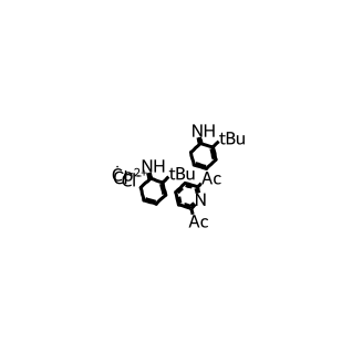 CC(=O)c1cccc(C(C)=O)n1.CC(C)(C)C1=CC=CCC1=N.CC(C)(C)C1=CC=CCC1=N.[Cl-].[Cl-].[Co+2]